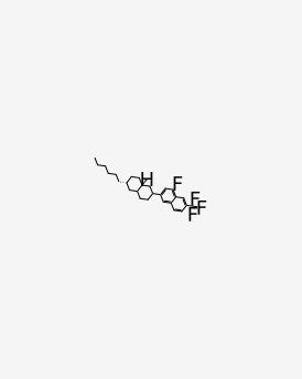 CCCCCC[C@@H]1CC[C@@H]2CC(c3cc(F)c4cc(C(F)(F)F)ccc4c3)CCC2C1